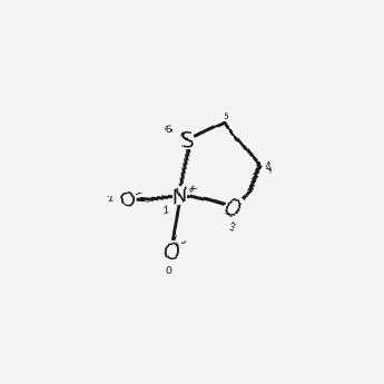 [O-][N+]1([O-])OCCS1